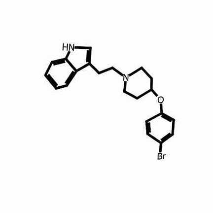 Brc1ccc(OC2CCN(CCc3c[nH]c4ccccc34)CC2)cc1